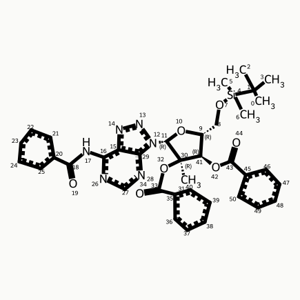 CC(C)(C)[Si](C)(C)OC[C@H]1O[C@@H](n2nnc3c(NC(=O)c4ccccc4)ncnc32)[C@](C)(OC(=O)c2ccccc2)[C@@H]1OC(=O)c1ccccc1